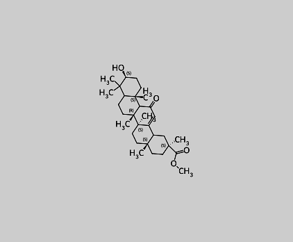 COC(=O)[C@@]1(C)CC[C@]2(C)CC[C@]3(C)C(=CC(=O)C4[C@@]5(C)CC[C@H](O)C(C)(C)C5CC[C@]43C)C2C1